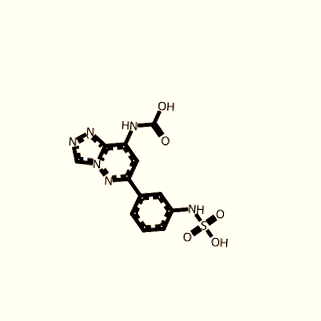 O=C(O)Nc1cc(-c2cccc(NS(=O)(=O)O)c2)nn2cnnc12